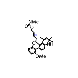 CNC(=O)OC/C=C/CC1Oc2cccc(OC)c2-c2ccc3c(c21)C(C)=CC(C)(C)N3